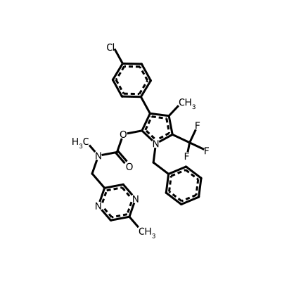 Cc1cnc(CN(C)C(=O)Oc2c(-c3ccc(Cl)cc3)c(C)c(C(F)(F)F)n2Cc2ccccc2)cn1